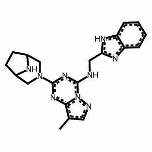 Cc1cnn2c(NCc3nc4ccccc4[nH]3)nc(N3CC4CCC(C3)N4)nc12